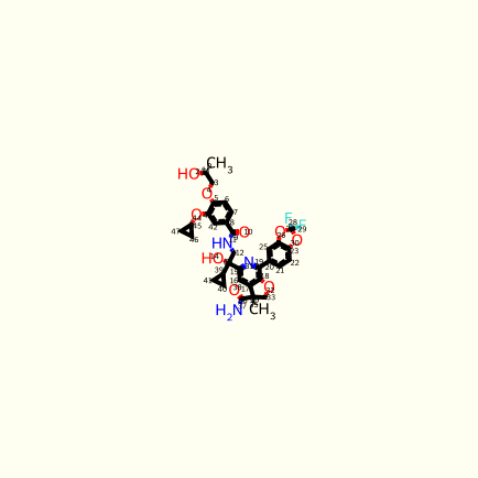 C[C@@H](O)COc1ccc(C(=O)NC[C@](O)(c2cc3c(c(-c4ccc5c(c4)OC(F)(F)O5)n2)OC[C@]3(C)C(N)=O)C2CC2)cc1OC1CC1